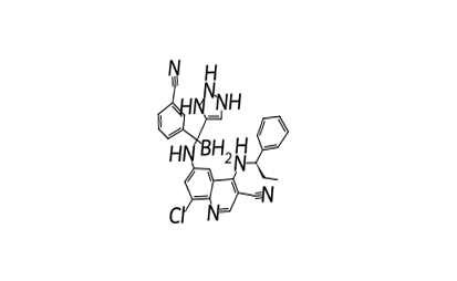 BC(Nc1cc(Cl)c2ncc(C#N)c(N[C@H](CC)c3ccccc3)c2c1)(C1=CNNN1)c1cccc(C#N)c1